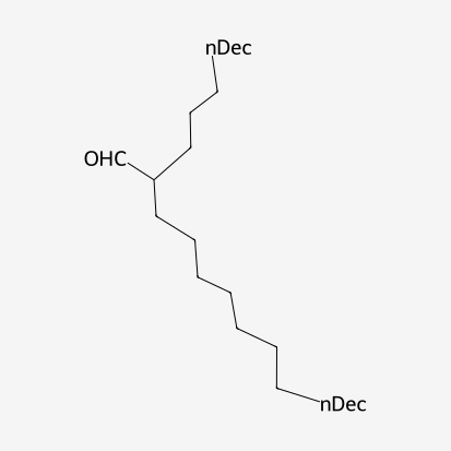 CCCCCCCCCCCCCCCCCC(C=O)CCCCCCCCCCCCC